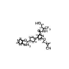 N#C[C@@H]1C[C@@H]1COc1nc(C(=O)NC(CCO)C(F)(F)F)cc(N2CCC(COc3cncnc3N)CC2)n1